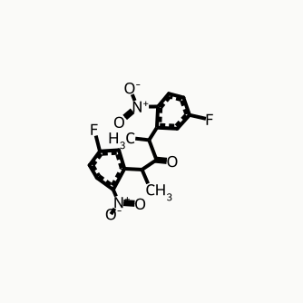 CC(C(=O)C(C)c1cc(F)ccc1[N+](=O)[O-])c1cc(F)ccc1[N+](=O)[O-]